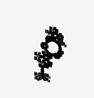 CCn1c(-c2cccnc2[C@H](C)OC)c2c3cc(ccc31)-c1cccc(n1)C[C@H](NC(=O)C(C(C)C)N(C)C(=O)N1CCC13CN(C(=O)C#CC(C)(C)N(C)C)C3)C(=O)N1CCC[C@H](N1)C(=O)OCC(C)(C)C2